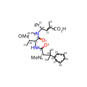 CN[C@H](C(=O)N[C@H](C(=O)N(C)[C@H](/C=C(\C)C(=O)O)C(C)C)[C@H](C)OC)C(C)(C)c1ccccc1